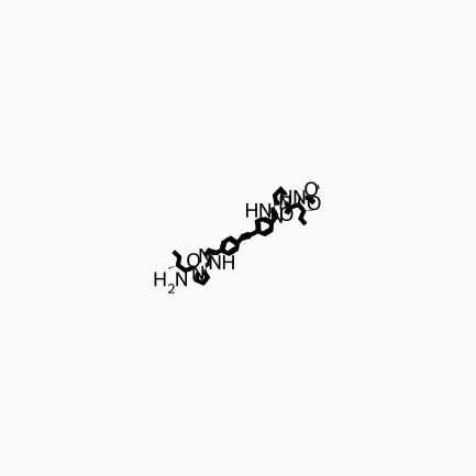 CC[C@@H](C)[C@H](N)C(=O)N1CCC[C@H]1c1ncc(-c2ccc(C#Cc3ccc4nc([C@@H]5CCCN5C(=O)[C@@H](NC(=O)OC)[C@H](C)CC)[nH]c4c3)cc2)[nH]1